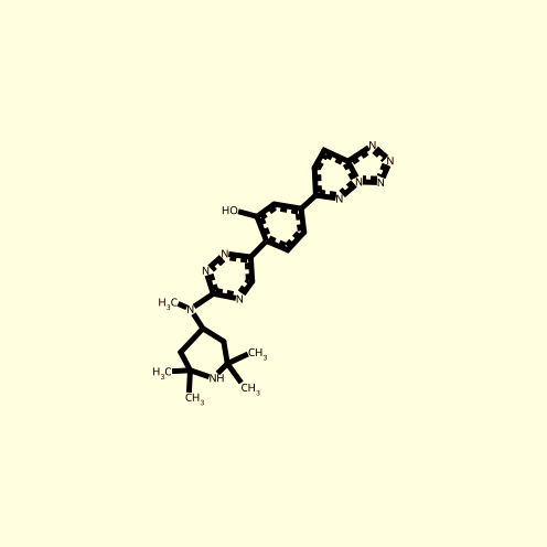 CN(c1ncc(-c2ccc(-c3ccc4nnnn4n3)cc2O)nn1)C1CC(C)(C)NC(C)(C)C1